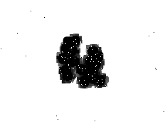 c1ccc2c(c1)Oc1cccc3c(-c4c5ccccc5c(-c5ccc6ccccc6c5)c5cc(-c6ccc7c(-c8ccccc8-c8ccc9ccccc9c8)c8ccccc8c(-c8ccc9c%10c(cccc8%10)Oc8ccccc8-9)c7c6)ccc45)ccc-2c13